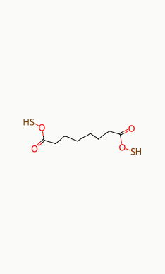 O=C(CCCCCCC(=O)OS)OS